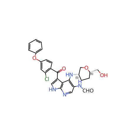 O=CNc1cnc2[nH]cc(C(=O)c3ccc(Oc4ccccc4)cc3Cl)c2c1N[C@H]1CC[C@@H](CO)OC1